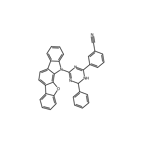 N#Cc1cccc(C2=NC(n3c4ccccc4c4ccc5c6ccccc6oc5c43)=NC(c3ccccc3)N2)c1